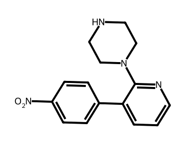 O=[N+]([O-])c1ccc(-c2cccnc2N2CCNCC2)cc1